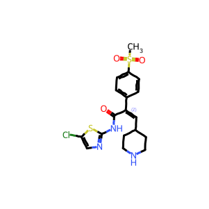 CS(=O)(=O)c1ccc(/C(=C/C2CCNCC2)C(=O)Nc2ncc(Cl)s2)cc1